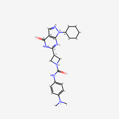 CN(C)c1ccc(NC(=O)N2CC(c3nc4c(cnn4C4CCCCC4)c(=O)[nH]3)C2)cc1